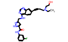 CCN(CCO)CCC#Cc1ccc2c(NCc3cc(C(=O)Nc4cccc(F)c4)[nH]n3)ncnc2c1